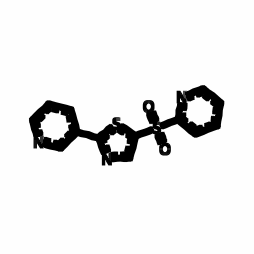 O=S(=O)(c1ccccn1)c1cnc(-c2cccnc2)s1